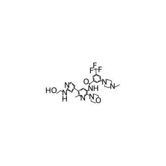 CCN1CCN(c2cc(C(=O)Nc3cc(-c4ccnc(NCCO)c4)c(C)nc3N3CCOCC3)cc(C(F)(F)F)c2)CC1